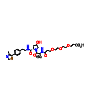 Cc1ncsc1-c1ccc(CCNC(=O)[C@@H]2C[C@@H](O)CN2C(=O)[C@@H](NC(=O)CCOCCOCCOCCC(=O)O)C(C)(C)C)cc1